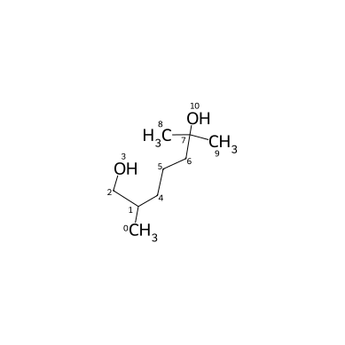 CC(CO)CCCC(C)(C)O